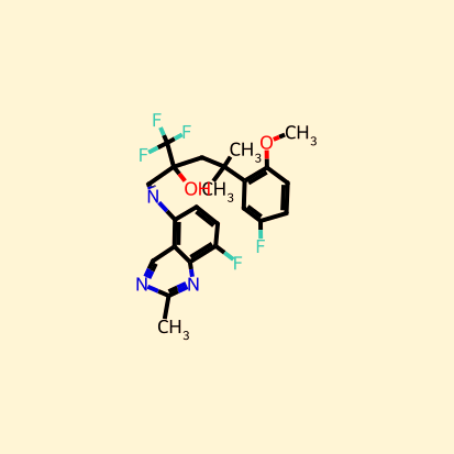 COc1ccc(F)cc1C(C)(C)CC(O)(/C=N\c1ccc(F)c2nc(C)ncc12)C(F)(F)F